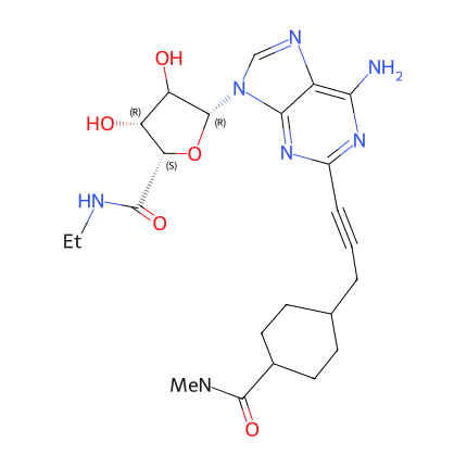 CCNC(=O)[C@H]1O[C@@H](n2cnc3c(N)nc(C#CCC4CCC(C(=O)NC)CC4)nc32)C(O)[C@H]1O